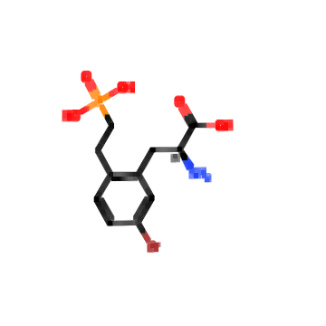 N[C@@H](Cc1cc(Br)ccc1CCP(=O)(O)O)C(=O)O